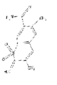 C=C1C(C)=Cc2cc(C)c(C(N)=O)cc2S1(=O)=O